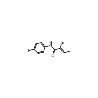 C/C=C(\Br)C(=O)Nc1ccc(I)cc1